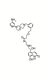 CN(CCNC[C@H](O)c1ccc(O)c2[nH]c(=O)ccc12)C(=O)CCOCCc1cccc(CN2CCC3(CC2)CN(c2cc(N)ccn2)CCO3)c1